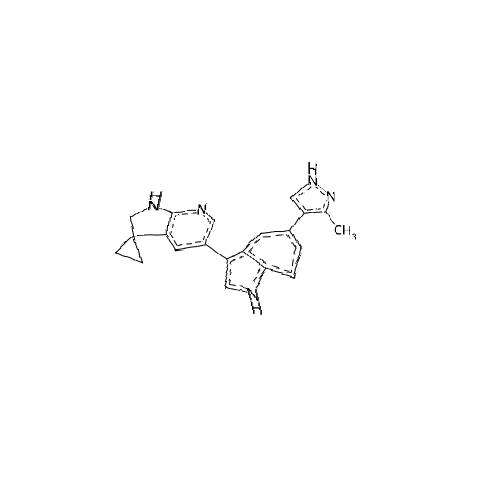 Cc1n[nH]cc1-c1ccc2[nH]cc(-c3cnc4c(c3)C3(CC3)CN4)c2c1